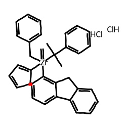 Cl.Cl.[CH2]=[Zr]([CH2]c1ccccc1)([C]1=CC=CC1)([c]1cccc2c1Cc1ccccc1-2)[C](C)(C)c1ccccc1